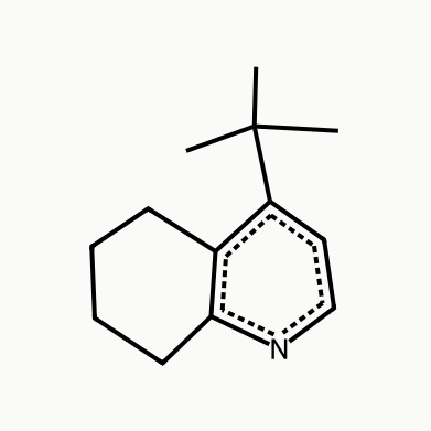 CC(C)(C)c1ccnc2c1CCCC2